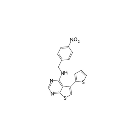 O=[N+]([O-])c1ccc(CNc2ncnc3scc(-c4cccs4)c23)cc1